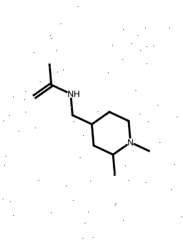 C=C(C)NCC1CCN(C)C(C)C1